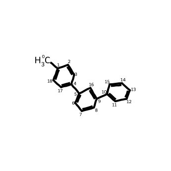 Cc1ccc(-c2cccc(-c3ccccc3)c2)cc1